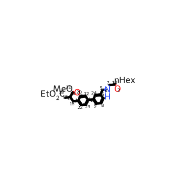 CCCCCCC(=O)CNCc1cccc(-c2ccc(CC(CC(=O)OCC)C(=O)OC)cc2)c1